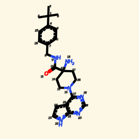 CC(C)(C)c1ccc(CNC(=O)C2(N)CCN(c3ncnc4[nH]ccc34)CC2)cc1